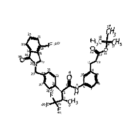 C[C@H]([C@H](C(=O)Nc1cccc(CCC(=O)OC(C)(C)C)c1)C1C=CC(CN2Cc3c(F)cccc3C2=O)=CC1)C(F)(F)F